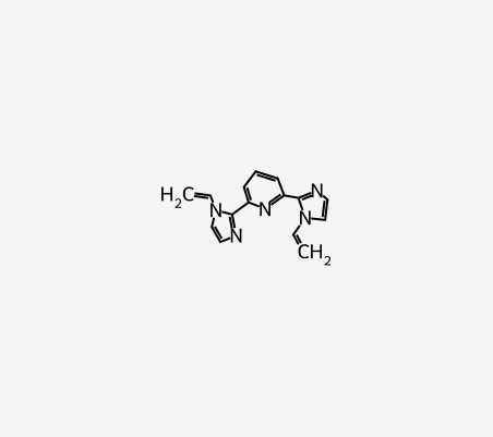 C=Cn1ccnc1-c1cccc(-c2nccn2C=C)n1